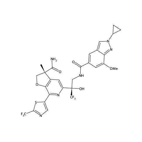 COc1cc(C(=O)NC[C@](O)(c2cc3c(c(-c4cnc(C(F)(F)F)s4)n2)OC[C@]3(C)C(N)=O)C(F)(F)F)cc2cn(C3CC3)nc12